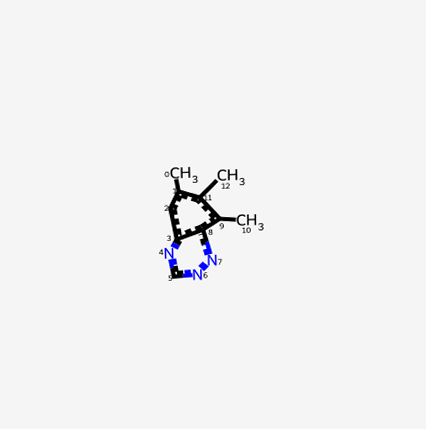 Cc1cc2ncnnc2c(C)c1C